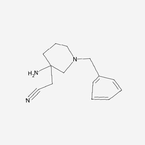 N#CCC1(N)CCCN(Cc2ccccc2)C1